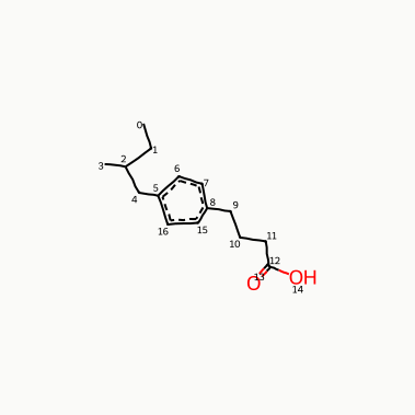 CCC(C)Cc1ccc(CCCC(=O)O)cc1